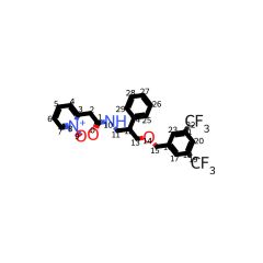 O=C(Cc1cccc[n+]1[O-])NCC(COCc1cc(C(F)(F)F)cc(C(F)(F)F)c1)c1ccccc1